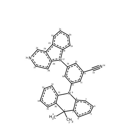 CC1(C)c2ccccc2N(c2cc(C#N)cc(-n3c4ccccc4c4cnccc43)c2)c2ccccc21